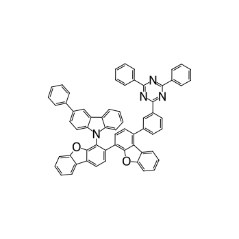 c1ccc(-c2ccc3c(c2)c2ccccc2n3-c2c(-c3ccc(-c4cccc(-c5nc(-c6ccccc6)nc(-c6ccccc6)n5)c4)c4c3oc3ccccc34)ccc3c2oc2ccccc23)cc1